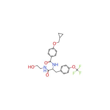 O=C(NC(Cc1ccc(OC(F)(F)F)cc1)C(=O)NCCO)c1ccc(OCC2CC2)cc1